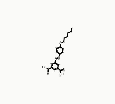 CCCCCCOc1ccc(N=Nc2cc(C(=O)O)cc(C(=O)O)c2)cc1